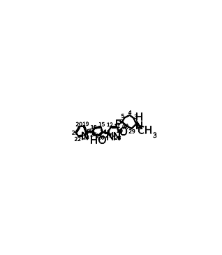 CNC1CCCC(F)[C@@H](Oc2ccc(-c3ccc(-c4ccccn4)cc3O)nn2)C1